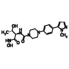 C[C@H](O)[C@@H](NC(=O)N1CCN(c2ccc(-c3ccnn3C)cc2)CC1)C(=O)NO